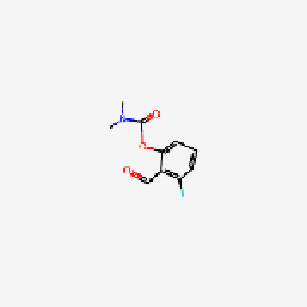 CN(C)C(=O)Oc1cccc(F)c1C=O